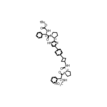 CC(C)(C)OC(=O)N[C@@H](C(=O)N1CCC[C@H]1c1nc(-c2ccc(C3CC(NC(=O)[C@@H]4CCCN4C(=O)[C@H](NC(=O)O)c4ccccc4)C3)cc2)c[nH]1)c1ccccc1